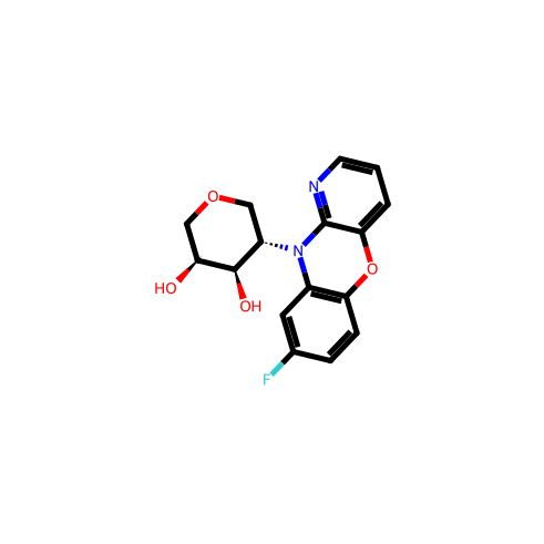 O[C@H]1[C@@H](O)COC[C@@H]1N1c2cc(F)ccc2Oc2cccnc21